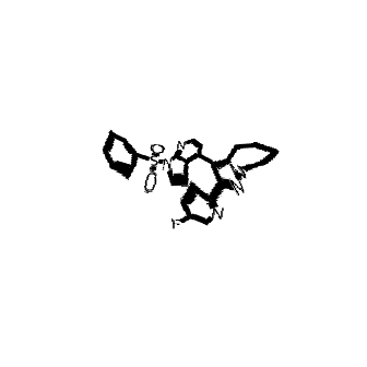 O=S(=O)(c1ccccc1)n1ccc2c(-c3c(-c4ccc(F)cn4)nn4c3CCCC4)ccnc21